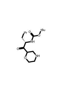 CC(C)C[C@H](NC(=O)OC(C)(C)C)C(=O)C1CNCCO1